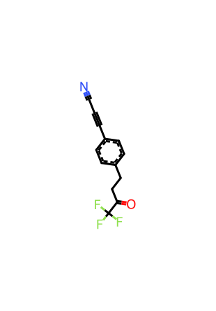 N#CC#Cc1ccc(CCC(=O)C(F)(F)F)cc1